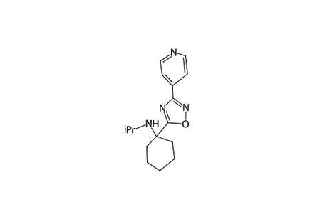 CC(C)NC1(c2nc(-c3ccncc3)no2)CCCCC1